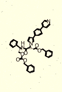 O=C(C[C@H](C(=O)N[C@H](COC(=O)OCc1ccccc1)c1ccccc1)n1ccc(-c2ccc(-c3ccncc3)cc2)c1)OCc1ccccc1